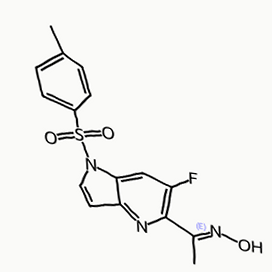 C/C(=N\O)c1nc2ccn(S(=O)(=O)c3ccc(C)cc3)c2cc1F